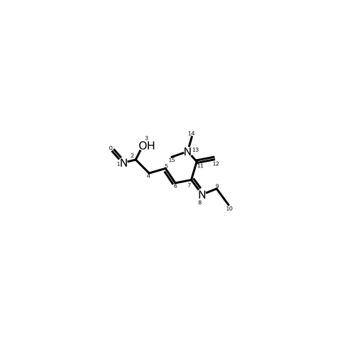 C=NC(O)C/C=C/C(=N/CC)C(=C)N(C)C